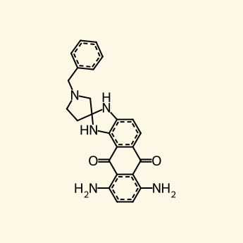 Nc1ccc(N)c2c1C(=O)c1ccc3c(c1C2=O)NC1(CCN(Cc2ccccc2)C1)N3